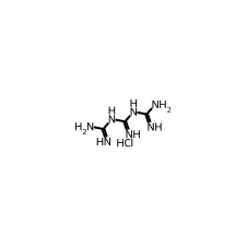 Cl.N=C(N)NC(=N)NC(=N)N